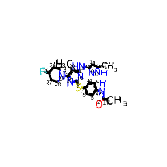 CC(=O)Nc1ccc(Sc2nc(Nc3cc(C)[nH]n3)c(C)c(N3CCC(F)CC3)n2)cc1